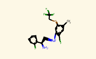 Cc1cc(F)c(NCC(N)c2ccccc2F)cc1SCC(F)(F)F